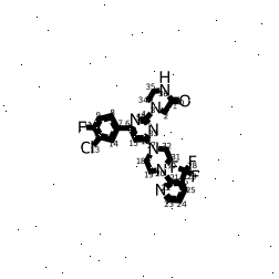 O=C1CN(c2nc(-c3ccc(F)c(Cl)c3)cc(N3CCN(c4ncccc4C(F)(F)F)CC3)n2)CCN1